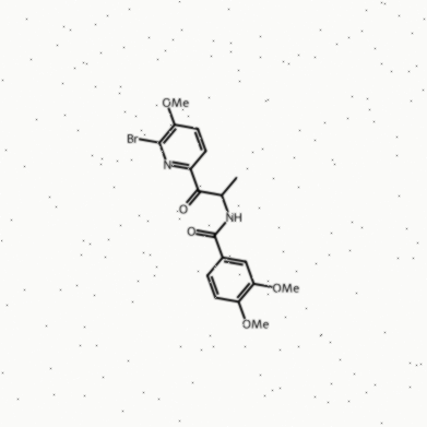 COc1ccc(C(=O)NC(C)C(=O)c2ccc(OC)c(Br)n2)cc1OC